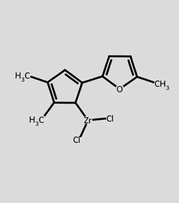 CC1=C(C)[CH]([Zr]([Cl])[Cl])C(c2ccc(C)o2)=C1